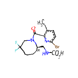 Cc1ccc(Br)nc1C(=O)N1CC(F)(F)CC[C@@H]1CNC(=O)O